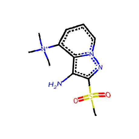 C[N+](C)(C)c1cccn2nc(S(C)(=O)=O)c(N)c12